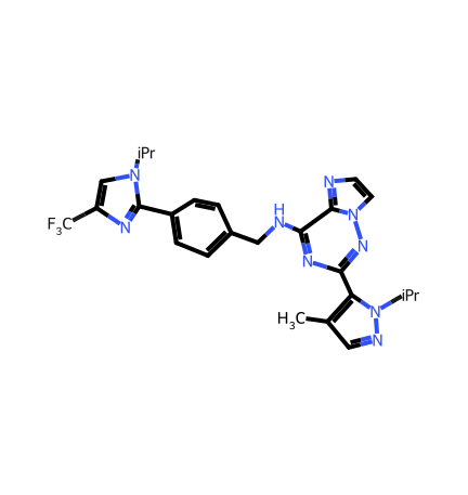 Cc1cnn(C(C)C)c1-c1nc(NCc2ccc(-c3nc(C(F)(F)F)cn3C(C)C)cc2)c2nccn2n1